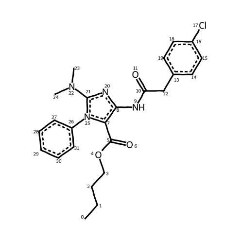 CCCCOC(=O)c1c(NC(=O)Cc2ccc(Cl)cc2)nc(N(C)C)n1-c1ccccc1